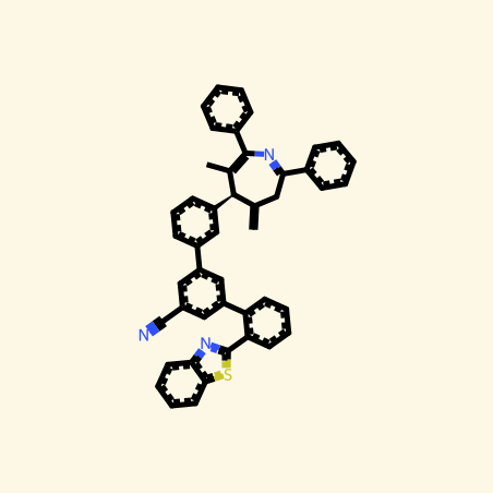 C=C1CC(c2ccccc2)=NC(c2ccccc2)=C(C)[C@@H]1c1cccc(-c2cc(C#N)cc(-c3ccccc3-c3nc4ccccc4s3)c2)c1